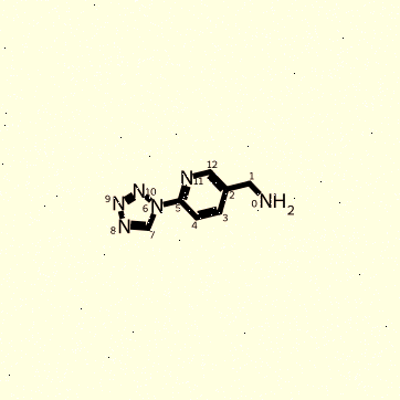 NCc1ccc(-n2cnnn2)nc1